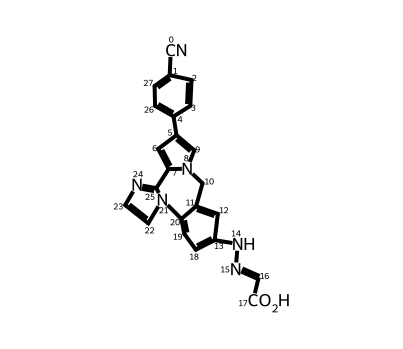 N#Cc1ccc(-c2cc3n(c2)Cc2cc(N/N=C/C(=O)O)ccc2-n2ccnc2-3)cc1